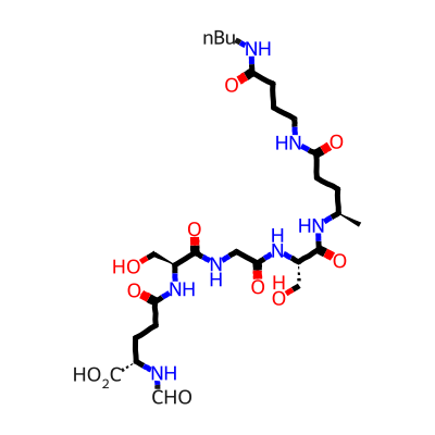 CCCCNC(=O)CCCNC(=O)CC[C@@H](C)NC(=O)[C@H](CO)NC(=O)CNC(=O)[C@H](CO)NC(=O)CC[C@H](NC=O)C(=O)O